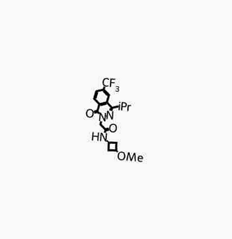 CO[C@H]1C[C@@H](NC(=O)Cn2nc(C(C)C)c3cc(C(F)(F)F)ccc3c2=O)C1